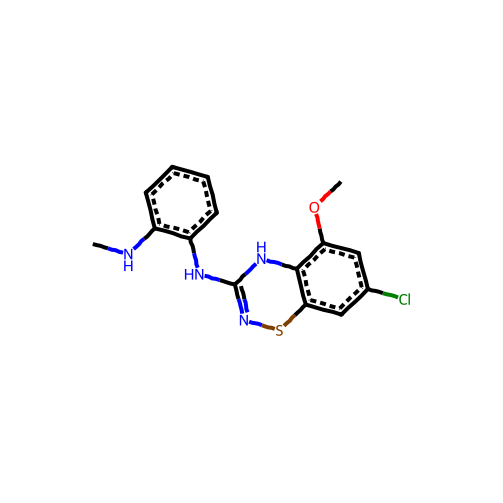 CNc1ccccc1NC1=NSc2cc(Cl)cc(OC)c2N1